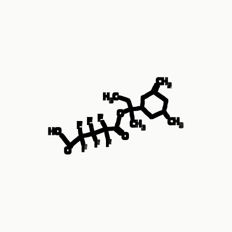 C=C1CC(C)CC(C(C)(CC)OC(=O)C(F)(F)C(F)(F)C(F)(F)C(=O)O)C1